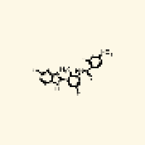 Cc1c(NC(=O)c2ccc([N+](=O)[O-])cc2F)cc(F)cc1-c1nc2nc(Cl)ccc2[nH]1